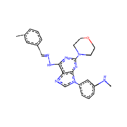 CNc1cccc(-n2cnc3c(NN=Cc4cccc(C)c4)nc(N4CCOCC4)nc32)c1